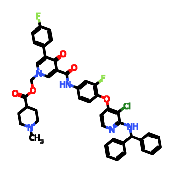 CN1CCC(C(=O)OCn2cc(C(=O)Nc3ccc(Oc4ccnc(NC(c5ccccc5)c5ccccc5)c4Cl)c(F)c3)c(=O)c(-c3ccc(F)cc3)c2)CC1